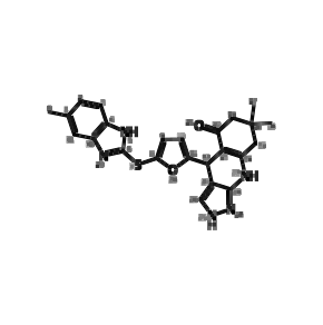 Cc1ccc2[nH]c(Sc3ccc(C4C5=C(CC(C)(C)CC5=O)Nc5n[nH]cc54)o3)nc2c1